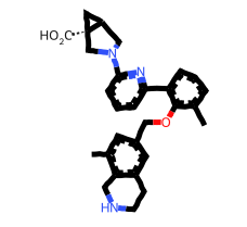 Cc1cc(COc2c(C)cccc2-c2cccc(N3CC4C[C@]4(C(=O)O)C3)n2)cc2c1CNCC2